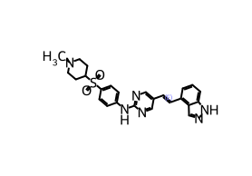 CN1CCC(S(=O)(=O)c2ccc(Nc3ncc(/C=C/c4cccc5[nH]ncc45)cn3)cc2)CC1